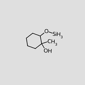 CC1(O)CCCCC1O[SiH3]